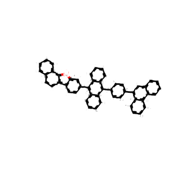 c1ccc2c(c1)cc(-c1ccc(-c3c4ccccc4c(-c4ccc5c(c4)oc4c6ccccc6ccc54)c4ccccc34)cc1)c1ccccc12